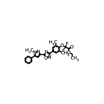 CCOC(=O)C(F)(F)Oc1c(C)cc(-c2noc(-c3cc(-c4ccccc4)n(C)n3)n2)cc1C